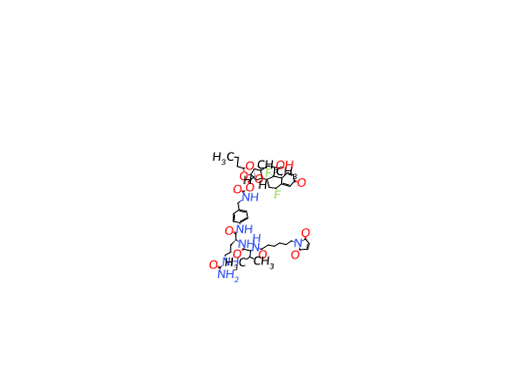 CCCC1O[C@@H]2CC3[C@@H]4C[C@H](F)C5=CC(=O)C=C[C@]5(C)[C@@]4(F)[C@@H](O)C[C@]3(C)[C@]2(C(=O)COC(=O)NCc2ccc(NC(=O)[C@H](CCCNC(N)=O)NC(=O)[C@@H](NC(=O)CCCCCN3C(=O)C=CC3=O)C(C)C)cc2)O1